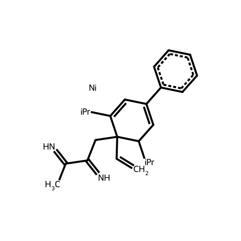 C=CC1(CC(=N)C(C)=N)C(C(C)C)=CC(c2ccccc2)=CC1C(C)C.[Ni]